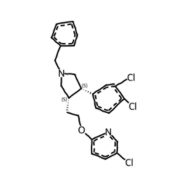 Clc1ccc(OCC[C@@H]2CN(Cc3ccccc3)C[C@@H]2c2ccc(Cl)c(Cl)c2)nc1